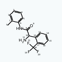 Cc1ccccc1NC(=O)C(N)c1ccccc1C(F)(F)F